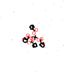 O=C(OCC(COC(=O)C12C=CC(CC1)C2)(COC(=O)C12C=CC(CC1)C2)COC(=O)C12C=CC(CC1)C2)C12C=CC(CC1)C2